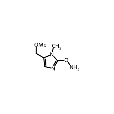 COCc1cnc(ON)n1C